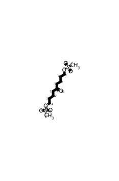 CS(=O)(=O)OCCCCC(=O)CCCCOS(C)(=O)=O